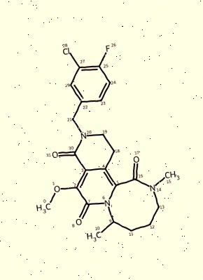 COc1c2c(c3n(c1=O)C(C)CCCN(C)C3=O)CCN(Cc1ccc(F)c(Cl)c1)C2=O